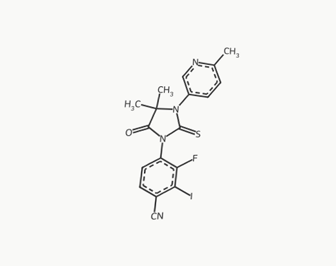 Cc1ccc(N2C(=S)N(c3ccc(C#N)c(I)c3F)C(=O)C2(C)C)cn1